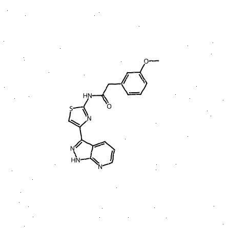 COc1cccc(CC(=O)Nc2nc(-c3n[nH]c4ncccc34)cs2)c1